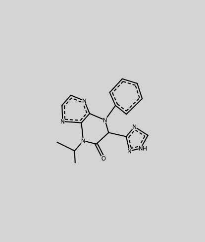 CC(C)N1C(=O)C(c2nc[nH]n2)N(c2ccccc2)c2nccnc21